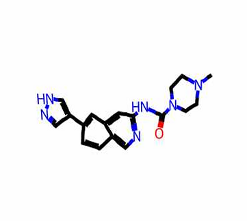 CN1CCN(C(=O)Nc2cc3cc(-c4cn[nH]c4)ccc3cn2)CC1